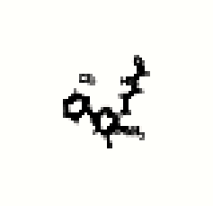 Cc1cc(-c2ccccc2)n[n+](CCCNC=O)c1N.[Cl-]